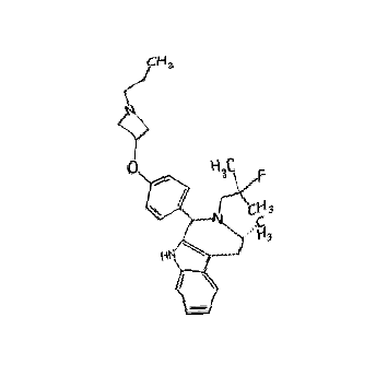 CCCN1CC(Oc2ccc(C3c4[nH]c5ccccc5c4C[C@@H](C)N3CC(C)(C)F)cc2)C1